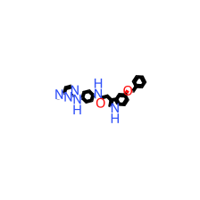 CN(C)c1ccnc(NC2CCC(NC(=O)Cc3c[nH]c4ccc(OCc5ccccc5)cc34)CC2)n1